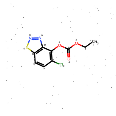 CCOC(=O)Oc1c(Cl)ccc2snnc12